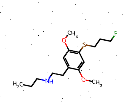 CCCNCCc1cc(OC)c(SCCCF)cc1OC